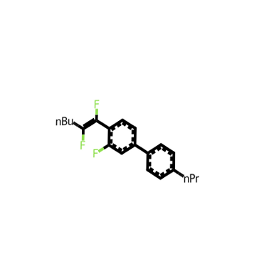 CCCC/C(F)=C(\F)c1ccc(-c2ccc(CCC)cc2)cc1F